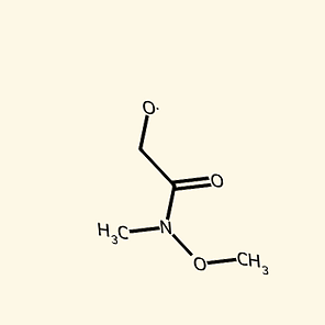 CON(C)C(=O)C[O]